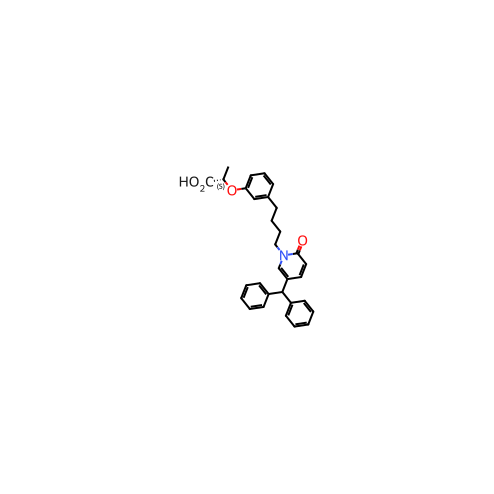 C[C@H](Oc1cccc(CCCCn2cc(C(c3ccccc3)c3ccccc3)ccc2=O)c1)C(=O)O